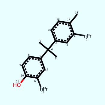 CCCc1cc(C(C)(C)c2ccc(O)c(CCC)c2)ccc1C